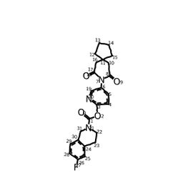 O=C(Oc1ccc(N2C(=O)CC3(CCCC3)CC2=O)cn1)N1CCc2cc(F)ccc2C1